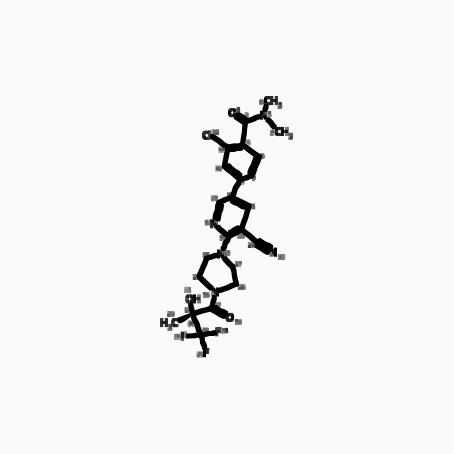 CN(C)C(=O)c1ccc(-c2cnc(N3CCN(C(=O)[C@@](C)(O)C(F)(F)F)CC3)c(C#N)c2)cc1Cl